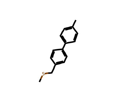 CSCc1ccc(-c2ccc(C)cc2)cc1